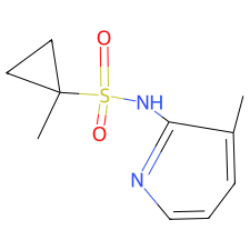 Cc1cccnc1NS(=O)(=O)C1(C)CC1